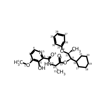 COc1ccnc(C(=O)N[C@@H](C)C(=O)O[C@H](C2CCCCC2)[C@H](C)Oc2ccccc2)c1O